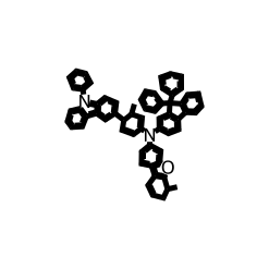 CC1CC=Cc2c1oc1cc(N(C3=CC(C)C(c4ccc5c(c4)c4ccccc4n5-c4ccccc4)C=C3)c3ccc4c(c3)C(c3ccccc3)(c3ccccc3)c3ccccc3-4)ccc21